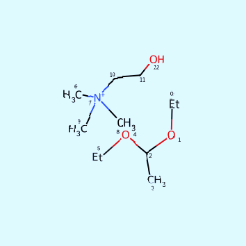 CCOC(C)OCC.C[N+](C)(C)CCO